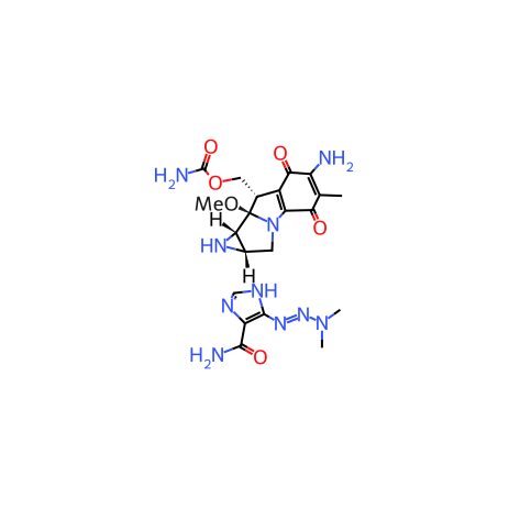 CN(C)/N=N/c1[nH]cnc1C(N)=O.CO[C@@]12[C@H](COC(N)=O)C3=C(C(=O)C(C)=C(N)C3=O)N1C[C@@H]1N[C@@H]12